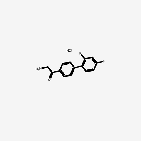 Cl.NCC(=O)c1ccc(-c2ccc(F)cc2F)cc1